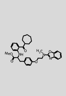 COC(=O)C(Cc1ccc(OCCN(C)c2nc3ccccc3o2)cc1)Nc1ccccc1C(=O)C1CCCCCC1